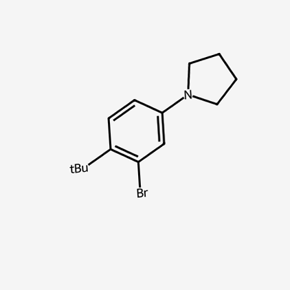 CC(C)(C)c1ccc(N2CCCC2)cc1Br